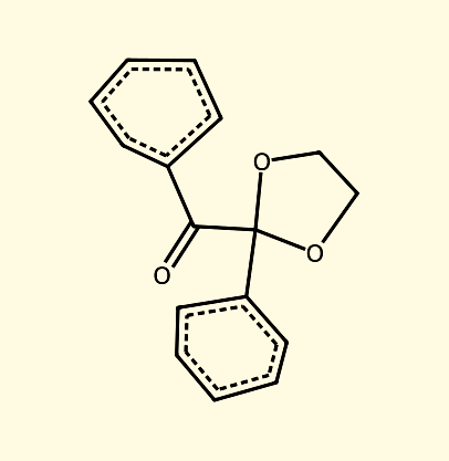 O=C(c1ccccc1)C1(c2ccccc2)OCCO1